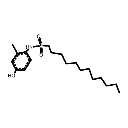 CCCCCCCCCCCCS(=O)(=O)Nc1ccc(O)cc1C